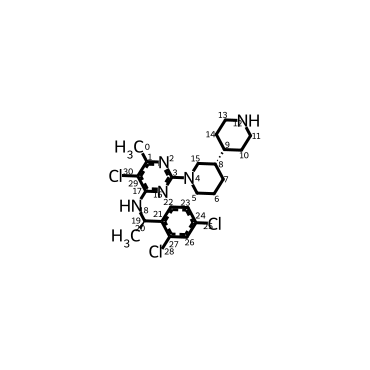 Cc1nc(N2CCC[C@@H](C3CCNCC3)C2)nc(N[C@H](C)c2ccc(Cl)cc2Cl)c1Cl